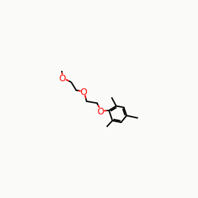 COCCOCCOc1c(C)cc(C)cc1C